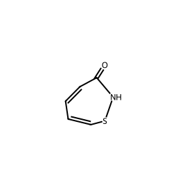 O=C1C=CC=CSN1